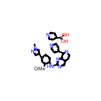 COc1cc(-c2cnn(C)c2)ccc1Nc1ncc2ccnc(-c3ccncc3)c2n1.OB(O)c1ccncc1